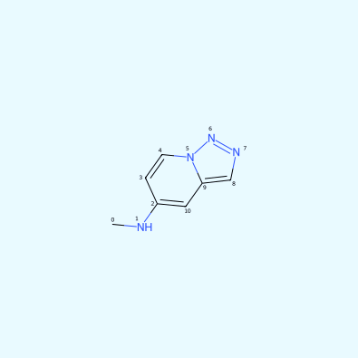 CNc1ccn2nncc2c1